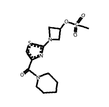 CS(=O)(=O)OC1CN(c2nc(C(=O)N3CCCCC3)cs2)C1